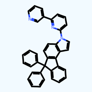 c1ccc(C2(c3ccccc3)c3ccccc3-c3c2ccc2c3ccn2-c2cccc(-c3cccnc3)n2)cc1